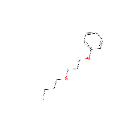 [O]CCCOCCCOc1ccccc1